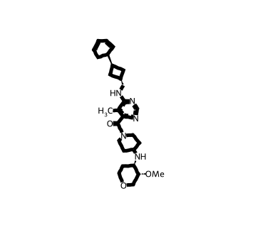 CO[C@@H]1COCC[C@@H]1NC1CCN(C(=O)c2ncnc(NC[C@H]3C[C@H](C4C=CC=CC4)C3)c2C)CC1